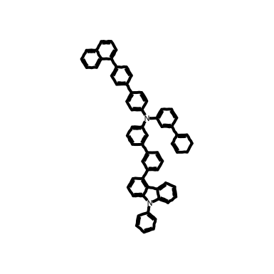 C1=CC(c2cccc(N(c3ccc(-c4ccc(-c5cccc6ccccc56)cc4)cc3)c3cccc(-c4cccc(-c5cccc6c5c5ccccc5n6-c5ccccc5)c4)c3)c2)=CCC1